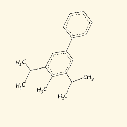 Cc1c(C(C)C)cc(-c2ccccc2)cc1C(C)C